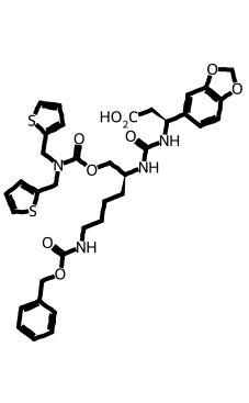 O=C(O)C[C@H](NC(=O)N[C@@H](CCCCNC(=O)OCc1ccccc1)COC(=O)N(Cc1cccs1)Cc1cccs1)c1ccc2c(c1)OCO2